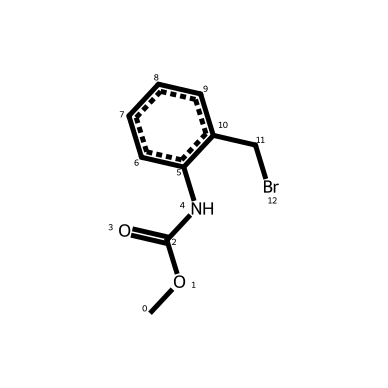 COC(=O)Nc1ccccc1CBr